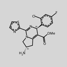 COC(=O)C1=C2C[C@H](N)CN2C(c2nccs2)=N[C@H]1c1ccc(F)cc1Cl